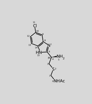 CC(=O)NCSC[C@H](N)c1nc2cc(Cl)ccc2[nH]1